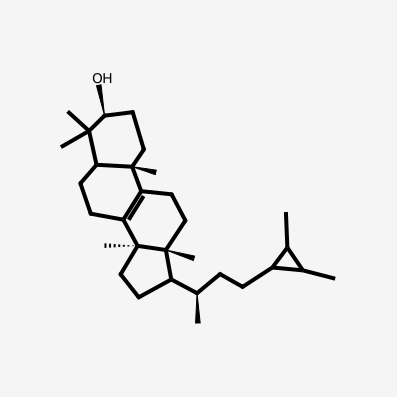 CC1C(C)C1CC[C@@H](C)C1CC[C@@]2(C)C3=C(CC[C@]12C)[C@@]1(C)CC[C@H](O)C(C)(C)C1CC3